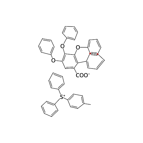 Cc1ccc([S+](c2ccccc2)c2ccccc2)cc1.O=C([O-])c1cc(Oc2ccccc2)c(Oc2ccccc2)c(Oc2ccccc2)c1-c1ccccc1